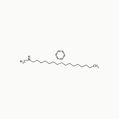 CCCCCCCCCCCCCCCCNC.c1ccccc1